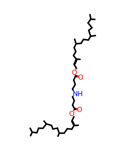 C/C(=C\COC(=O)CCCNCCCC(=O)OC/C=C(\C)CCCC(C)CCCC(C)CCCC(C)C)CCCC(C)CCCC(C)CCCC(C)C